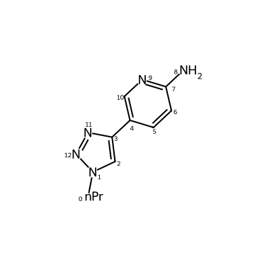 CCCn1cc(-c2ccc(N)nc2)nn1